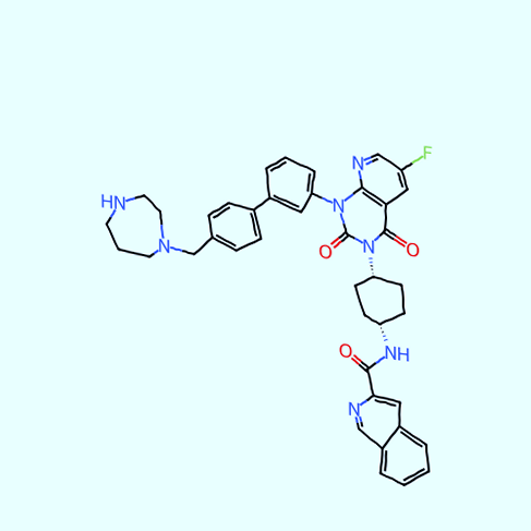 O=C(N[C@H]1CC[C@@H](n2c(=O)c3cc(F)cnc3n(-c3cccc(-c4ccc(CN5CCCNCC5)cc4)c3)c2=O)CC1)c1cc2ccccc2cn1